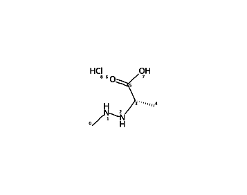 CNN[C@@H](C)C(=O)O.Cl